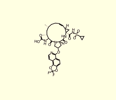 C[C@@H]1CCC=C[C@@H]2C[C@@]2(C(=O)NS(=O)(=O)C2CC2)NC(=O)[C@@H]2C[C@@H](Oc3nccc4c5c(ccc34)OC(F)(F)O5)CN2C(=O)[C@@H](NC(=O)O)[C@H](C)C1